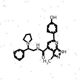 Cc1n[nH]c2nc(-c3ccc(O)cc3)cc(C(=O)NCC(c3ccccc3)N3CCCC3)c12